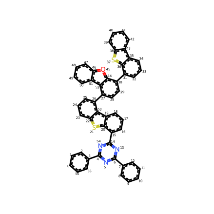 c1ccc(-c2nc(-c3ccccc3)nc(-c3cccc4c3sc3cccc(-c5ccc(-c6cccc7c6sc6ccccc67)c6oc7ccccc7c56)c34)n2)cc1